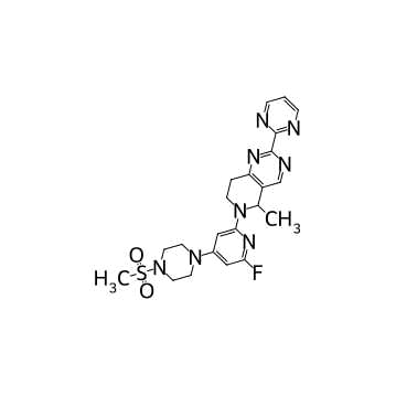 CC1c2cnc(-c3ncccn3)nc2CCN1c1cc(N2CCN(S(C)(=O)=O)CC2)cc(F)n1